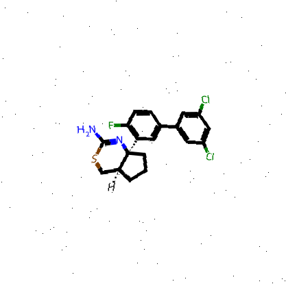 NC1=N[C@@]2(c3cc(-c4cc(Cl)cc(Cl)c4)ccc3F)CCC[C@H]2CS1